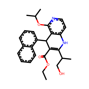 CCOC(=O)C1=C([C](C)CO)Nc2ccnc(OC(C)C)c2C1c1cccc2ccccc12